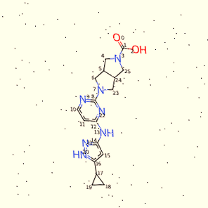 O=C(O)N1CC2CN(c3nccc(Nc4cc(C5CC5)[nH]n4)n3)CC2C1